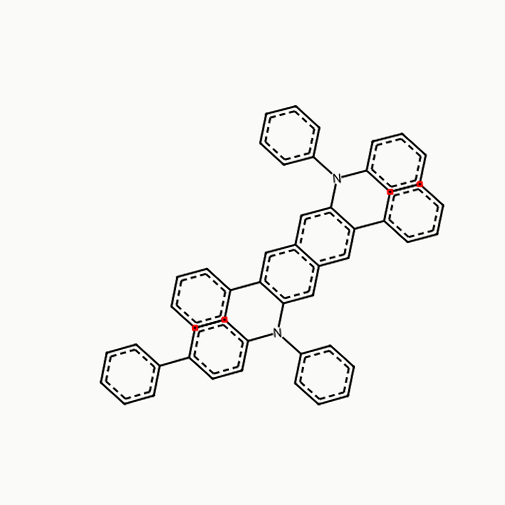 c1ccc(-c2ccc(N(c3ccccc3)c3cc4cc(-c5ccccc5)c(N(c5ccccc5)c5ccccc5)cc4cc3-c3ccccc3)cc2)cc1